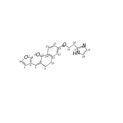 O=C1C(=Cc2ccoc2)CCc2cc(OCCc3ncc[nH]3)ccc21